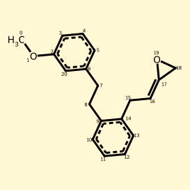 COc1cccc(CCc2ccccc2C/C=C2/CO2)c1